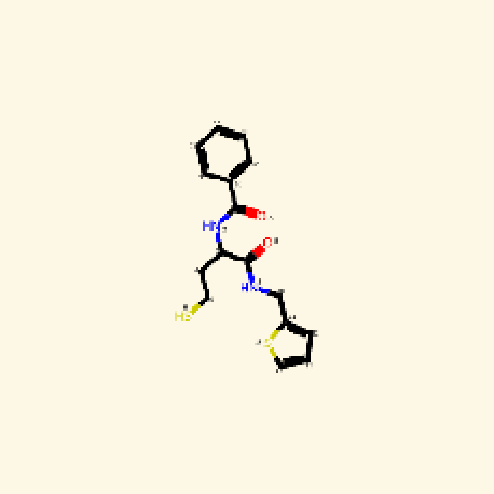 O=C(NC(CCS)C(=O)NCc1cccs1)c1ccccc1